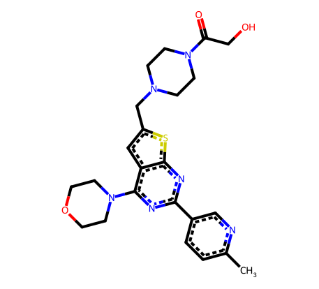 Cc1ccc(-c2nc(N3CCOCC3)c3cc(CN4CCN(C(=O)CO)CC4)sc3n2)cn1